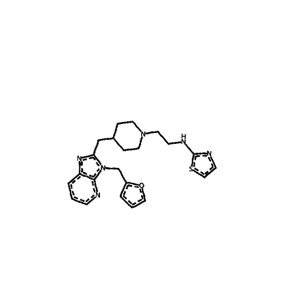 c1coc(Cn2c(CC3CCN(CCNc4nccs4)CC3)nc3cccnc32)c1